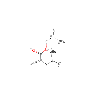 C=C(CC(CC)CCCC)C(=O)OCC(CC)CCCC